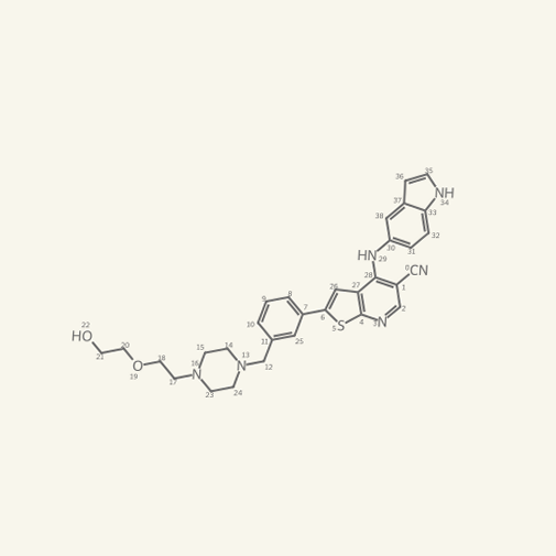 N#Cc1cnc2sc(-c3cccc(CN4CCN(CCOCCO)CC4)c3)cc2c1Nc1ccc2[nH]ccc2c1